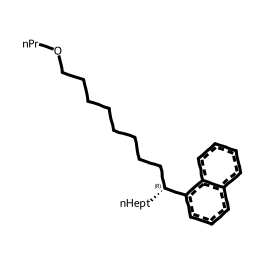 [CH2]CCOCCCCCCCC[C@@H](CCCCCCC)c1cccc2ccccc12